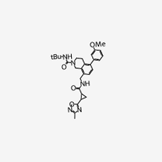 COc1cccc(-c2ccc(CNC(=O)C3CC3c3nc(C)no3)c3c2CCN(C(=O)NC(C)(C)C)C3)c1